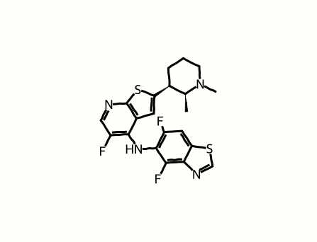 C[C@H]1[C@@H](c2cc3c(Nc4c(F)cc5scnc5c4F)c(F)cnc3s2)CCCN1C